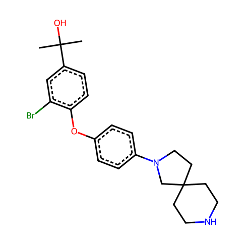 CC(C)(O)c1ccc(Oc2ccc(N3CCC4(CCNCC4)C3)cc2)c(Br)c1